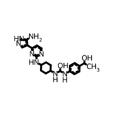 CC(O)c1ccc(NC(O)NC2CCC(Nc3nccc(-c4cn[nH]c4N)n3)CC2)cc1